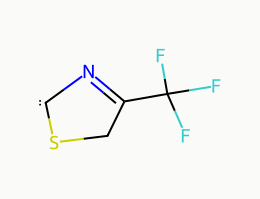 FC(F)(F)C1=N[C]SC1